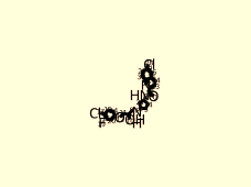 O=C(N[C@H]1CC[C@H](NCC(O)COc2ccc(Cl)c(F)c2)C1)c1ccc2cc(Cl)ccc2n1